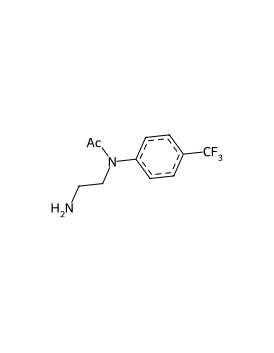 CC(=O)N(CCN)c1ccc(C(F)(F)F)cc1